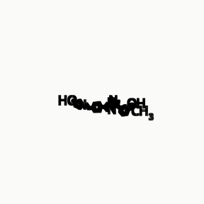 C[C@@H](O)c1cccc(-c2cnn3cc(-c4ccc(CCN5CCC(O)C5)cc4)cnc23)c1